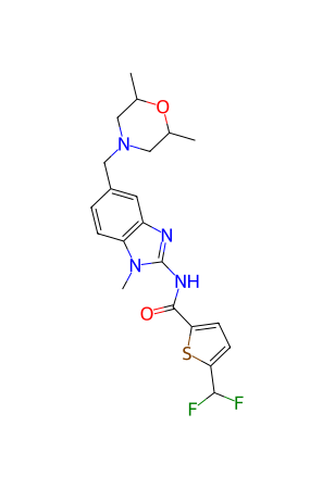 CC1CN(Cc2ccc3c(c2)nc(NC(=O)c2ccc(C(F)F)s2)n3C)CC(C)O1